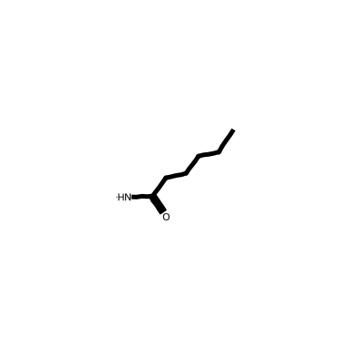 C[CH]CCCC([NH])=O